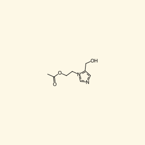 CC(=O)OCCn1cncc1CO